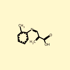 C=C(/C=N\c1ccccc1C)C(=O)O